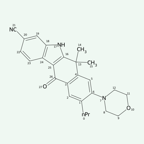 CCCc1cc2c(cc1N1CCOCC1)C(C)(C)c1[nH]c3cc(C#N)ccc3c1C2=O